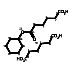 O=C(O)CCCCC(=O)O.O=C(O)CCCCC(=O)OC1CCCCC1